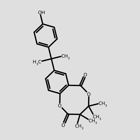 CC(C)(c1ccc(O)cc1)c1ccc2c(c1)C(=O)OC(C)(C)C(C)(C)C(=O)O2